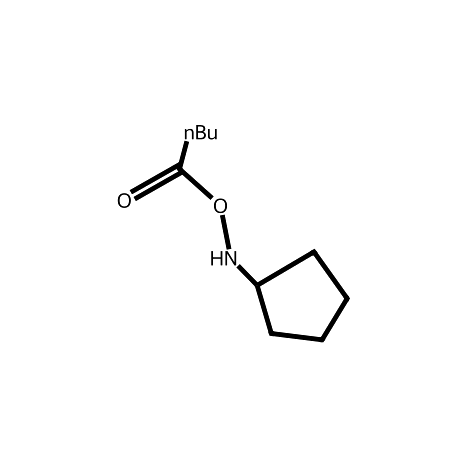 CCCCC(=O)ONC1CCCC1